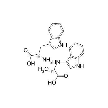 C[C@H](Nc1c[nH]c2ccccc12)C(=O)O.N[C@@H](Cc1c[nH]c2ccccc12)C(=O)O